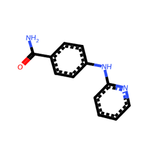 NC(=O)c1ccc(Nc2ccccn2)cc1